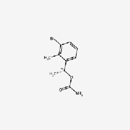 Cc1c(Br)cccc1[C@@H](C)OC(N)=O